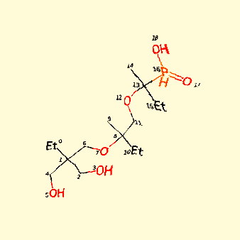 CCC(CO)(CO)COC(C)(CC)COC(C)(CC)[PH](=O)O